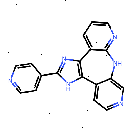 c1cnc2c(c1)-c1nc(-c3ccncc3)[nH]c1-c1ccncc1N2